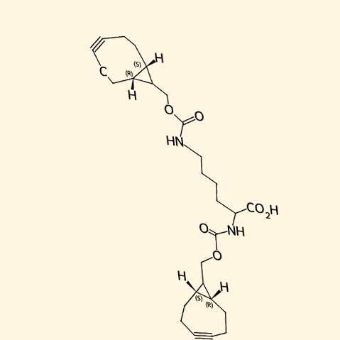 O=C(NCCCCC(NC(=O)OCC1[C@H]2CCC#CCC[C@@H]12)C(=O)O)OCC1[C@H]2CCC#CCC[C@@H]12